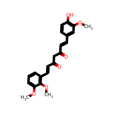 COc1cc(/C=C/C(=O)CC(=O)/C=C/c2cccc(OC)c2OC)ccc1O